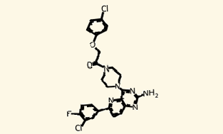 Nc1nc(N2CCN(C(=O)COc3ccc(Cl)cc3)CC2)c2nc(-c3ccc(F)c(Cl)c3)ccc2n1